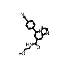 COCCNC(=O)c1cc(-c2ccc(C#N)cc2)n2ncnc2c1